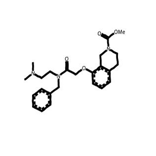 COC(=O)N1CCc2cccc(OCC(=O)N(CCN(C)C)Cc3ccccc3)c2C1